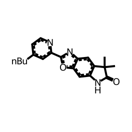 CCCCc1ccnc(-c2nc3cc4c(cc3o2)NC(=O)C4(C)C)c1